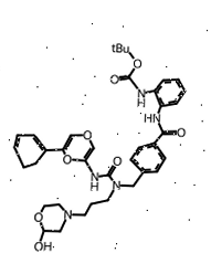 CC(C)(C)OC(=O)Nc1ccccc1NC(=O)c1ccc(CN(CCCN2CCOC(O)C2)C(=O)NC2=COC=C(C3=CC=CCC3)O2)cc1